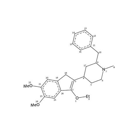 CCOC1=C(C2CCN(C)C(Cc3ccccc3)C2)Cc2cc(OC)c(OC)cc21